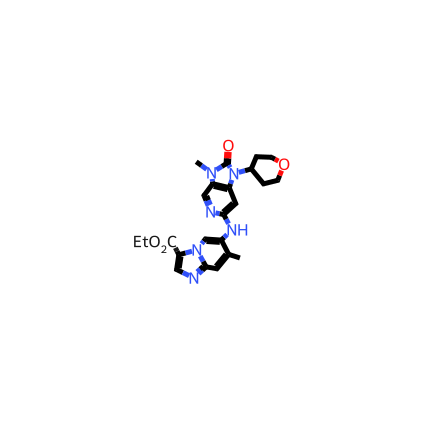 CCOC(=O)c1cnc2cc(C)c(Nc3cc4c(cn3)n(C)c(=O)n4C3CCOCC3)cn12